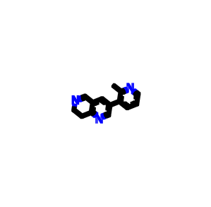 Cc1ncccc1-c1cnc2c(c1)C=NCC2